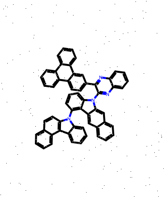 c1ccc2cc3c(cc2c1)c1c(-n2c4ccccc4c4c5ccccc5ccc42)cccc1n3-c1nc2ccccc2nc1-c1ccc2c3ccccc3c3ccccc3c2c1